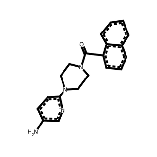 Nc1ccc(N2CCN(C(=O)c3cccc4ccccc34)CC2)nc1